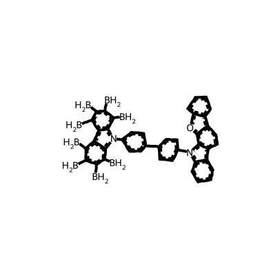 Bc1c(B)c(B)c2c(c1B)c1c(B)c(B)c(B)c(B)c1n2-c1ccc(-c2ccc(-n3c4ccccc4c4ccc5c6ccccc6oc5c43)cc2)cc1